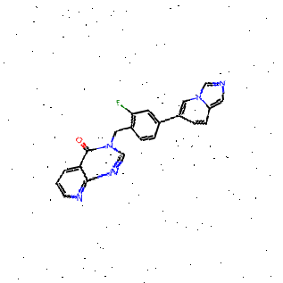 O=c1c2cccnc2ncn1Cc1ccc(-c2ccc3cncn3c2)cc1F